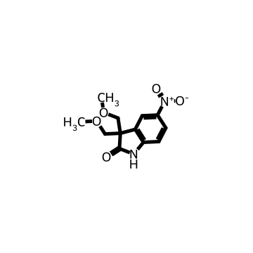 COCC1(COC)C(=O)Nc2ccc([N+](=O)[O-])cc21